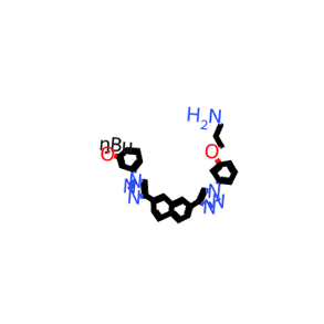 CCCCOc1cccc(-n2cc(-c3ccc4ccc(-c5cn(-c6cccc(OCCCN)c6)nn5)cc4c3)nn2)c1